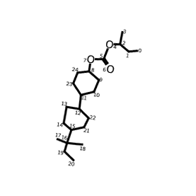 CCC(C)OC(=O)OC1CCC(C2CCC(C(C)(C)CC)CC2)CC1